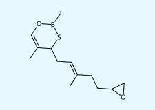 CC1=COB(I)SC1C/C=C(\C)CCC1CO1